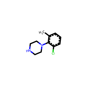 Cc1cccc(Cl)c1N1CCNCC1